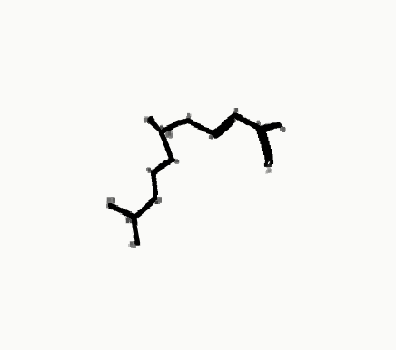 CC(=O)C=CC[C@H](C)CCCC(C)C